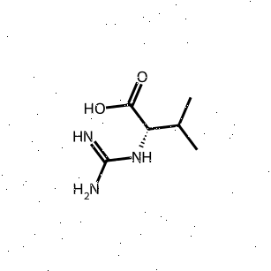 CC(C)[C@H](NC(=N)N)C(=O)O